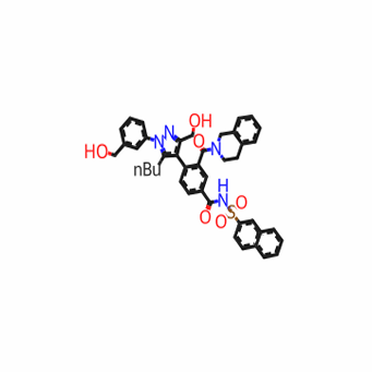 CCCCc1c(-c2ccc(C(=O)NS(=O)(=O)c3ccc4ccccc4c3)cc2C(=O)N2CCc3ccccc3C2)c(CO)nn1-c1cccc(CO)c1